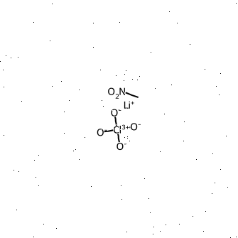 C[N+](=O)[O-].[Li+].[O-][Cl+3]([O-])([O-])[O-]